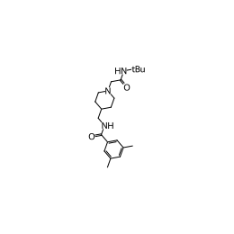 Cc1cc(C)cc(C(=O)NCC2CCN(CC(=O)NC(C)(C)C)CC2)c1